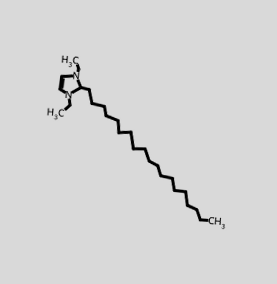 CCCCCCCCCCCCCCCCCCCC1N(CC)C=CN1CC